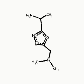 CC(N)c1nnc(CN(C)C)o1